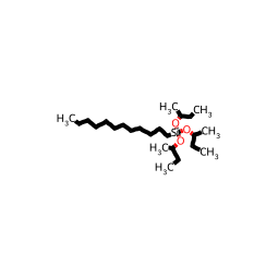 CCCCCCCCCCCC[Si](OC(C)CC)(OC(C)CC)OC(C)CC